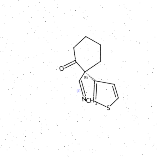 C/N=C\[C@]1(c2ccsc2)CCCCC1=O